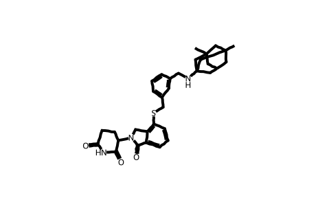 CC12CC3CC(C)(C1)CC(NCc1cccc(CSc4cccc5c4CN(C4CCC(=O)NC4=O)C5=O)c1)(C3)C2